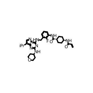 C=CC(=O)N[C@H]1CC[C@@H](C(=O)Nc2cccc(CNc3nc(NC4CCOCC4)nc4c(C(C)C)cnn34)c2F)CC1